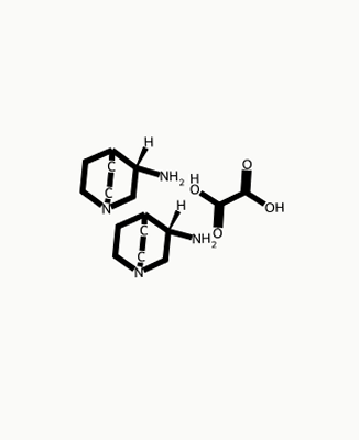 N[C@@H]1CN2CCC1CC2.N[C@@H]1CN2CCC1CC2.O=C(O)C(=O)O